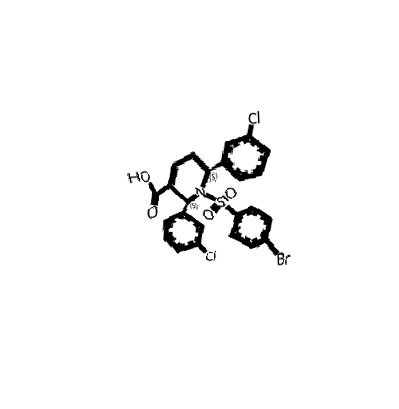 O=C(O)C1=CC[C@@H](c2cccc(Cl)c2)N(S(=O)(=O)c2ccc(Br)cc2)[C@H]1c1cccc(Cl)c1